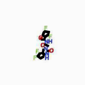 O=C(CN1Cc2c(ccc(F)c2F)NC1=O)N[C@H]1COc2cc(F)cc(F)c21